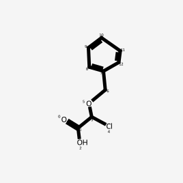 O=C(O)C(Cl)OCc1ccccc1